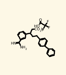 N=C(N)c1cccc(C(CCc2ccc(-c3ccccc3)cc2)CC(=O)O)c1.O=C(O)C(F)(F)F